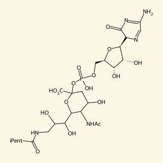 CCCC(C)C(=O)NCC(O)C(O)C1OC(OP(=O)(O)OC[C@H]2O[C@@H](C3N=CC(N)=NC3=O)[C@H](O)[C@@H]2O)(C(=O)O)CC(O)C1NC(C)=O